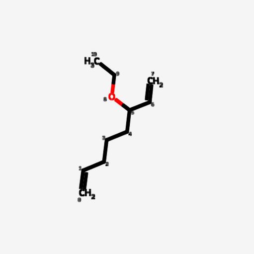 C=CCCCC(C=C)OCC